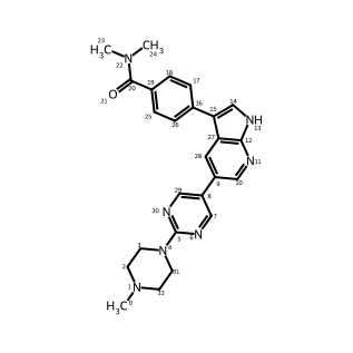 CN1CCN(c2ncc(-c3cnc4[nH]cc(-c5ccc(C(=O)N(C)C)cc5)c4c3)cn2)CC1